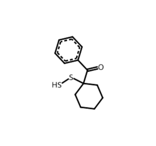 O=C(c1ccccc1)C1(SS)CCCCC1